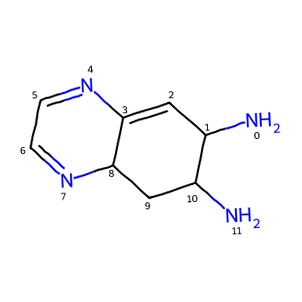 NC1C=C2N=CC=NC2CC1N